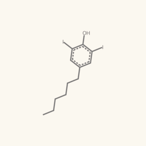 CCCCCCc1cc(I)c(O)c(I)c1